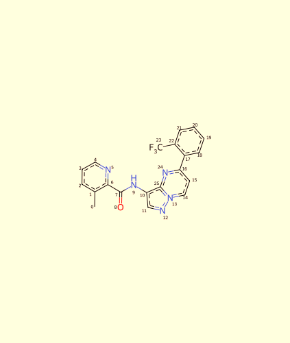 Cc1cccnc1C(=O)Nc1cnn2ccc(-c3ccccc3C(F)(F)F)nc12